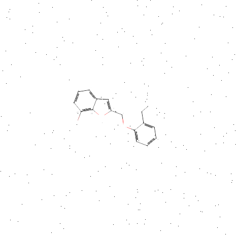 CCOC(=O)Cc1ccccc1OCc1cc2cccc(Br)c2o1